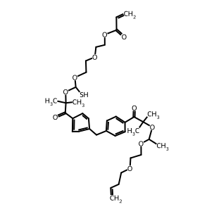 C=CCCOCCOC(C)OC(C)(C)C(=O)c1ccc(Cc2ccc(C(=O)C(C)(C)OC(S)OCCOCCOC(=O)C=C)cc2)cc1